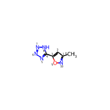 Cc1cc(-c2nnn[nH]2)on1